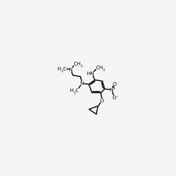 CNc1cc([N+](=O)[O-])c(OC2CC2)cc1N(C)CCN(C)C